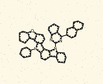 c1ccc(-n2c3ccc4c5ccccc5n(-c5nc(-c6ccc7ccccc7c6)c6ccccc6n5)c4c3c3ccc4oc5ccccc5c4c32)cc1